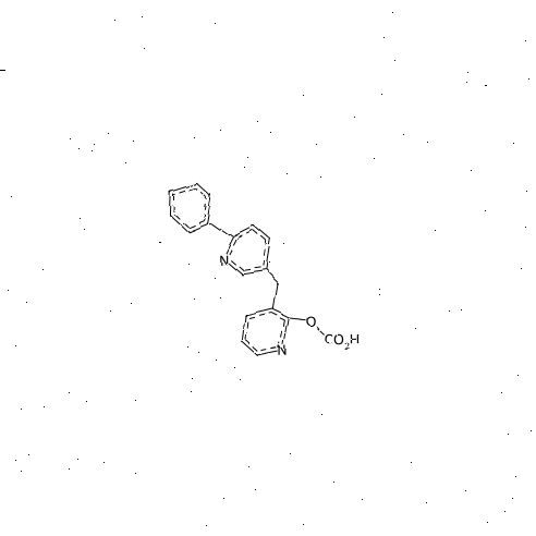 O=C(O)Oc1ncccc1Cc1ccc(-c2ccccc2)nc1